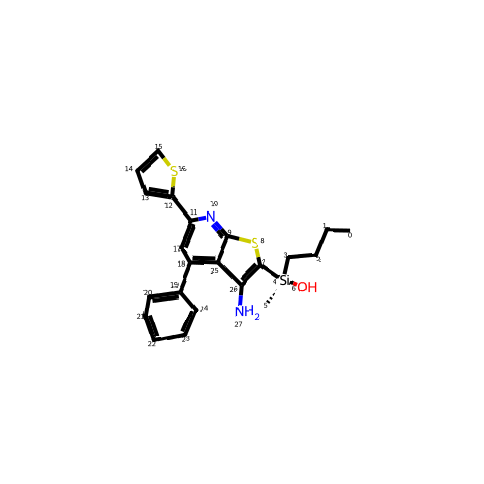 CCCC[Si@@](C)(O)c1sc2nc(-c3cccs3)cc(-c3ccccc3)c2c1N